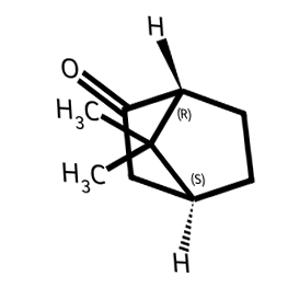 CC1(C)[C@H]2CC[C@H]1C(=O)C2